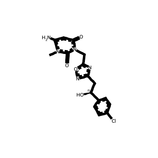 Cn1c(N)cc(=O)n(Cc2nc(C[C@H](O)c3ccc(Cl)cc3)no2)c1=O